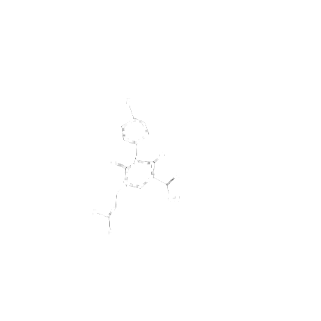 O=C(O)c1cn(CC=C(F)F)c(=O)n(-c2ccc(F)cc2)c1=O